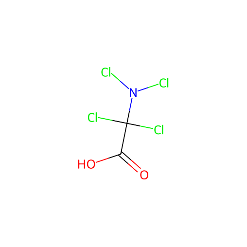 O=C(O)C(Cl)(Cl)N(Cl)Cl